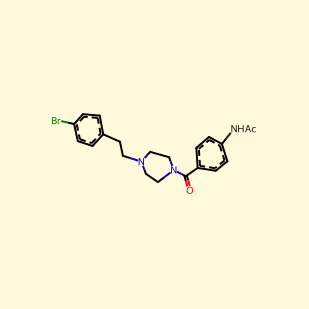 CC(=O)Nc1ccc(C(=O)N2CCN(CCc3ccc(Br)cc3)CC2)cc1